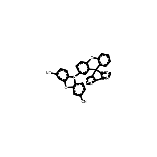 N#Cc1ccc2c(c1)Oc1cc(C#N)ccc1N2c1ccc2c(c1)C1(c3ccccc3O2)c2cccnc2-c2ncccc21